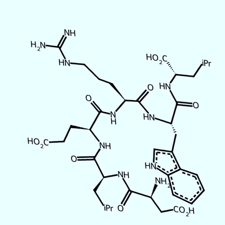 CC(C)C[C@H](NC(=O)[C@H](Cc1c[nH]c2ccccc12)NC(=O)[C@H](CCCNC(=N)N)NC(=O)[C@H](CCC(=O)O)NC(=O)[C@H](CC(C)C)NC(=O)[C@@H](N)CC(=O)O)C(=O)O